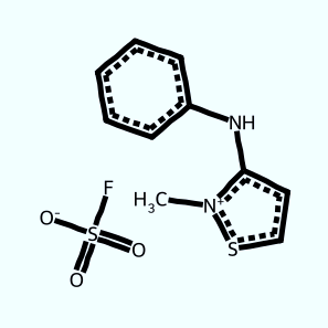 C[n+]1sccc1Nc1ccccc1.O=S(=O)([O-])F